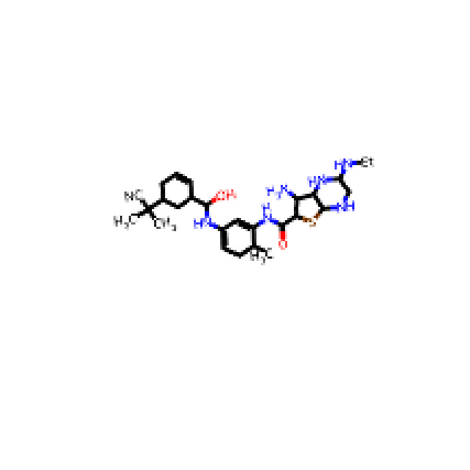 CCNC1CNC2SC(C(=O)NC3=CC(NC(O)C4C=CCC(C(C)(C)C#N)C4)=CCC3C)C(N)C2N1